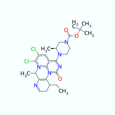 CCC1CC=NC2=C1n1c(=O)nc(N3CCN(C(=O)OC(C)(C)C)C[C@@H]3C)c3cc(Cl)c(Cl)[n+](c31)C2C